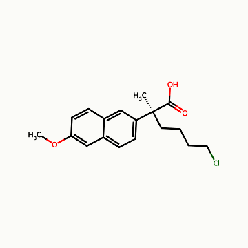 COc1ccc2cc([C@](C)(CCCCCl)C(=O)O)ccc2c1